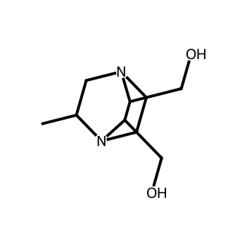 CC1CN2CCN1C(CO)C2CO